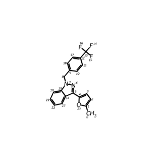 Cc1ccc(-c2nn(Cc3ccc(C(F)(F)F)cc3)c3ccccc23)o1